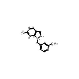 COc1cccc(Cn2ncc3cnc(Cl)nc32)c1